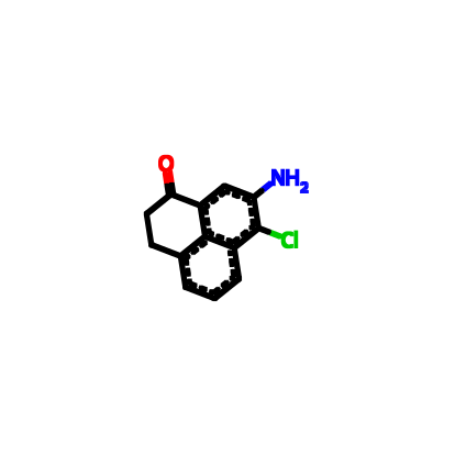 Nc1cc2c3c(cccc3c1Cl)CCC2=O